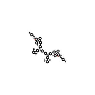 C=Cc1ccc(COc2ccc(C3(c4cc(C)ccc4C)c4ccccc4-c4ccc(-c5ccc(N(c6ccc(-c7ccc(N(c8ccc(-c9ccc%10c(c9)C(c9ccc(OCc%11ccc(C=C)cc%11)cc9)(c9cc(C)ccc9C)c9ccccc9-%10)cc8)c8ccc(-c9c(F)cccc9C(=C)C)cc8)cc7)cc6)c6ccc(-c7c(F)cccc7F)cc6)cc5)cc43)cc2)cc1